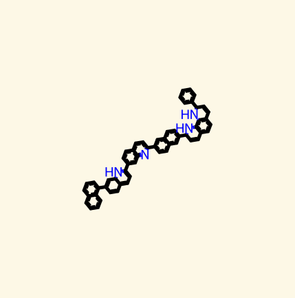 C1=CC2=CC=C(c3ccc4ccc(-c5ccc6cc(C7C=Cc8ccc9c(c8N7)NC(c7ccccc7)C=C9)ccc6c5)nc4c3)NC2C=C1c1cccc2ccccc12